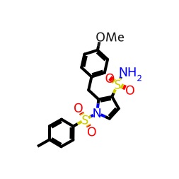 COc1ccc(Cc2c(S(N)(=O)=O)ccn2S(=O)(=O)c2ccc(C)cc2)cc1